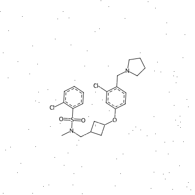 CN(CC1CC(Oc2ccc(CN3CCCC3)c(Cl)c2)C1)S(=O)(=O)c1ccccc1Cl